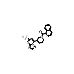 Cc1cc(C2CCCN(C(=O)c3nccc4ccccc34)C2)n2ncnc2n1